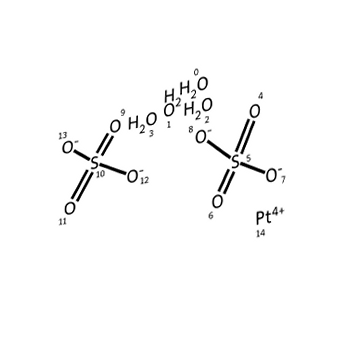 O.O.O.O.O=S(=O)([O-])[O-].O=S(=O)([O-])[O-].[Pt+4]